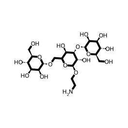 NCCO[C@H]1OC(CO[C@H]2O[C@H](CO)[C@@H](O)[C@H](O)[C@@H]2O)[C@@H](O)[C@H](O[C@H]2O[C@H](CO)[C@@H](O)[C@H](O)[C@@H]2O)[C@@H]1O